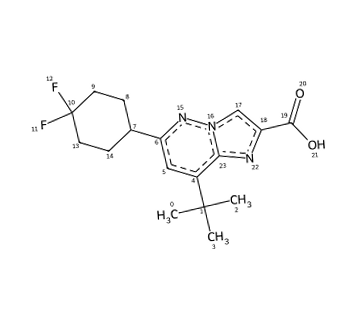 CC(C)(C)c1cc(C2CCC(F)(F)CC2)nn2cc(C(=O)O)nc12